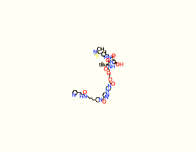 Cc1ncsc1-c1ccc(CNC(=O)[C@@H]2C[C@@H](O)CN2C(=O)[C@@H](NC(=O)COCCOCC(=O)N2CCN(c3ccc(C(=O)N4CCC(CCCCNC(=O)/C=C/c5cccnc5)CC4)nn3)CC2)C(C)(C)C)cc1